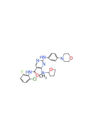 CN(c1nc(Nc2ccc(N3CCOCC3)cc2)ncc1C(=O)Nc1c(F)cccc1Cl)C1CCCO1